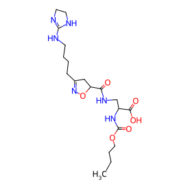 CCCCOC(=O)NC(CNC(=O)C1CC(CCCCNC2=NCCN2)=NO1)C(=O)O